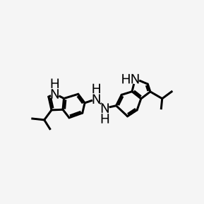 CC(C)c1c[nH]c2cc(NNc3ccc4c(C(C)C)c[nH]c4c3)ccc12